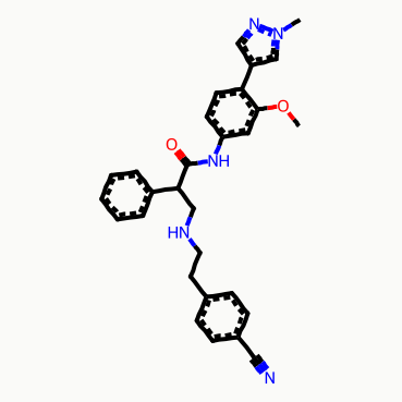 COc1cc(NC(=O)C(CNCCc2ccc(C#N)cc2)c2ccccc2)ccc1-c1cnn(C)c1